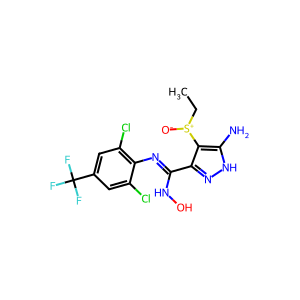 CC[S+]([O-])c1c(C(=Nc2c(Cl)cc(C(F)(F)F)cc2Cl)NO)n[nH]c1N